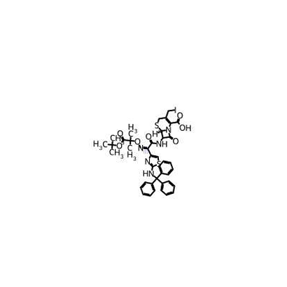 CC(C)(C)OC(=O)C(C)(C)O/N=C(\C(=O)NC1C(=O)N2C(C(=O)O)=C(CI)CS[C@@H]12)c1csc(NC(c2ccccc2)(c2ccccc2)c2ccccc2)n1